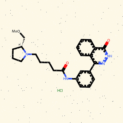 COC[C@H]1CCCN1CCCCC(=O)Nc1cccc(-c2n[nH]c(=O)c3ccccc23)c1.Cl